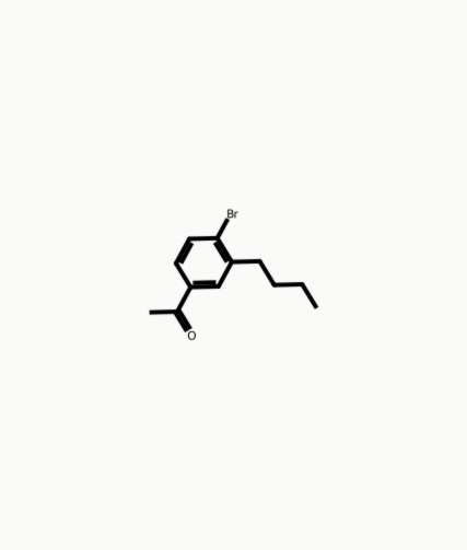 CCCCc1cc(C(C)=O)ccc1Br